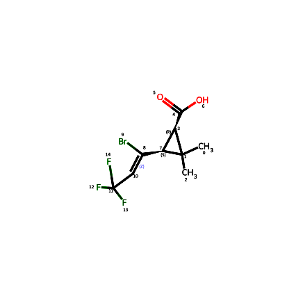 CC1(C)[C@H](C(=O)O)[C@@H]1/C(Br)=C/C(F)(F)F